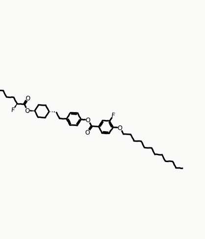 CCCCCCCCCCCCOc1ccc(C(=O)Oc2ccc(CC[C@H]3CC[C@H](OC(=O)[C@@H](F)CCCC)CC3)cc2)cc1F